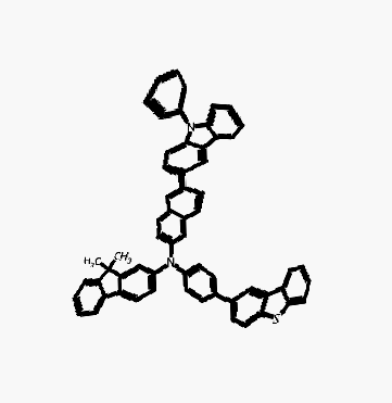 CC1(C)c2ccccc2-c2ccc(N(c3ccc(-c4ccc5sc6ccccc6c5c4)cc3)c3ccc4cc(-c5ccc6c(c5)c5ccccc5n6-c5ccccc5)ccc4c3)cc21